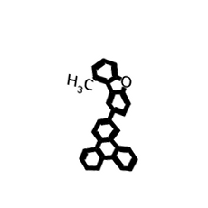 Cc1cccc2oc3ccc(-c4ccc5c6c(c7ccccc7c5c4)CCC=C6)cc3c12